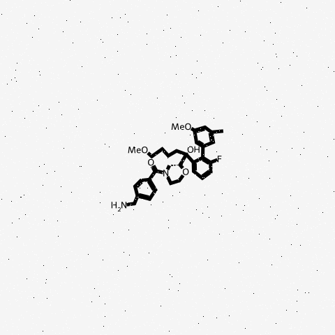 COCCCC[C@@](O)(c1cccc(F)c1-c1cc(C)cc(OC)c1)[C@H]1CN(C(=O)c2ccc(CN)cc2)CCO1